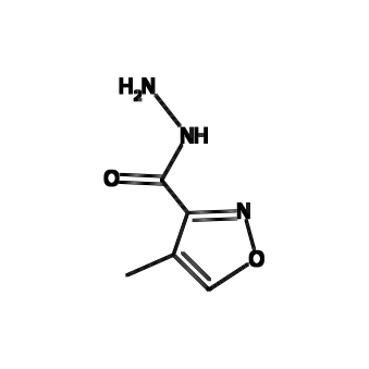 Cc1conc1C(=O)NN